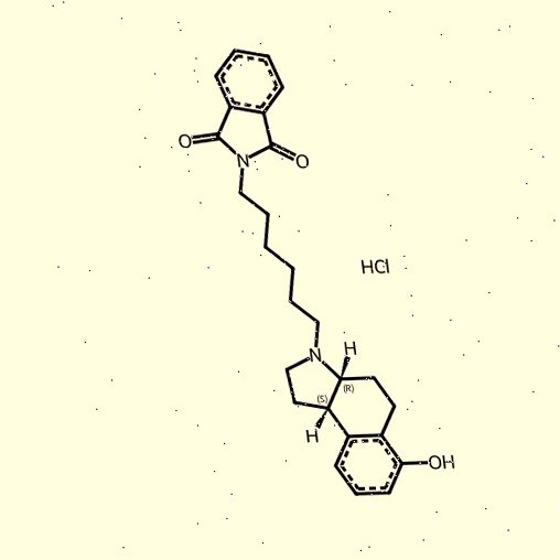 Cl.O=C1c2ccccc2C(=O)N1CCCCCCN1CC[C@H]2c3cccc(O)c3CC[C@H]21